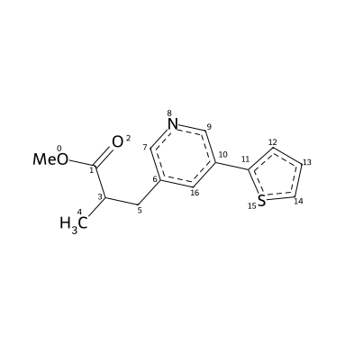 COC(=O)C(C)Cc1cncc(-c2cccs2)c1